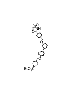 CCOC(=O)N1CCC(COc2ccc(-c3cccc(OCc4ccc(C(=O)NS(C)(=O)=O)cc4)c3)cn2)CC1